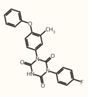 Cc1cc(-n2c(=O)[nH]c(=O)n(-c3ccc(F)cc3)c2=O)ccc1Oc1ccccc1